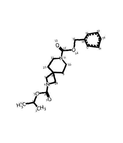 CC(C)OC(=O)N1CC2(CCN(C(=O)OCc3ccccc3)CC2)C1